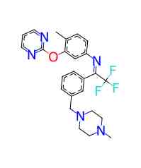 Cc1ccc(/N=C(\c2cccc(CN3CCN(C)CC3)c2)C(F)(F)F)cc1Oc1ncccn1